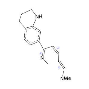 C\N=C(/C=C\C=C\NC)c1ccc2c(c1)NCCC2